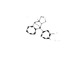 COc1ccc(C23CCC(c4ccccc42)C2(C(=O)O)CNCC32)cc1O